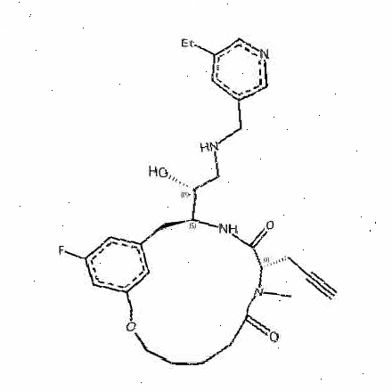 C#CC[C@H]1C(=O)N[C@H]([C@H](O)CNCc2cncc(CC)c2)Cc2cc(F)cc(c2)OCCCCC(=O)N1C